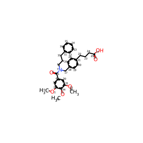 COc1cc(C(=O)N(CCCc2ccccc2)Cc2ccc(CCCC(=O)O)cc2)cc(OC)c1OC